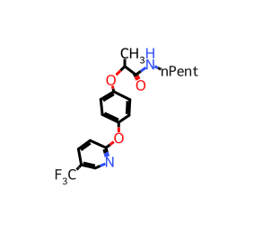 CCCCCNC(=O)C(C)Oc1ccc(Oc2ccc(C(F)(F)F)cn2)cc1